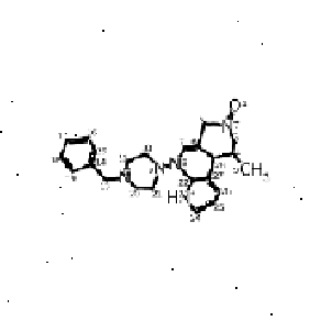 CC1C[N+](=O)CC2=CN(N3CCN(Cc4ccccc4)CC3)C3NC=CC=C3C21